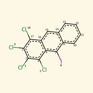 Clc1c(Cl)c(Cl)c2c(I)c3ccccc3cc2c1Cl